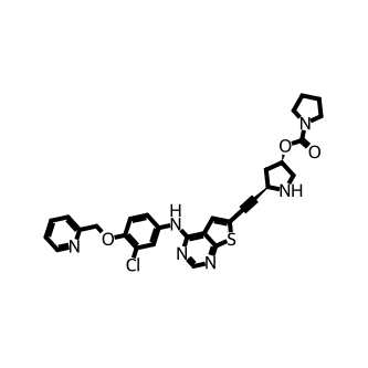 O=C(O[C@@H]1CN[C@@H](C#Cc2cc3c(Nc4ccc(OCc5ccccn5)c(Cl)c4)ncnc3s2)C1)N1CCCC1